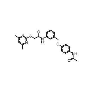 CC(=O)Nc1ccc(OCc2cccc(NC(=O)CSc3nc(C)cc(C)n3)c2)cc1